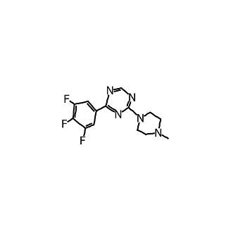 CN1CCN(c2ncnc(-c3cc(F)c(F)c(F)c3)n2)CC1